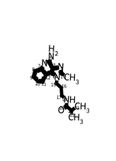 Cc1nc2c(N)nc3ccccc3c2n1CCCNC(=O)C(C)C